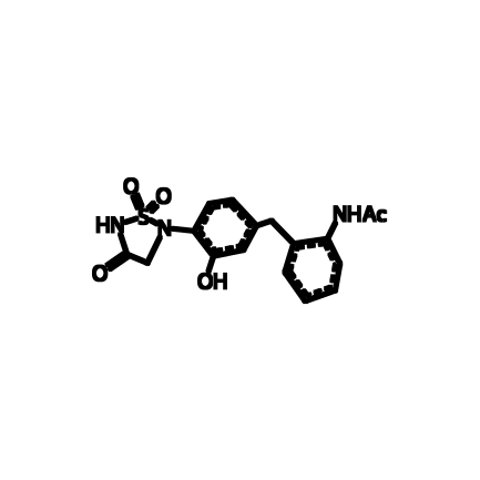 CC(=O)Nc1ccccc1Cc1ccc(N2CC(=O)NS2(=O)=O)c(O)c1